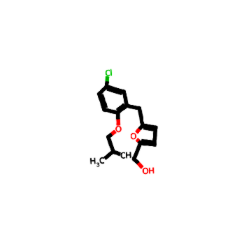 CC(C)COc1ccc(Cl)cc1Cc1ccc(CO)o1